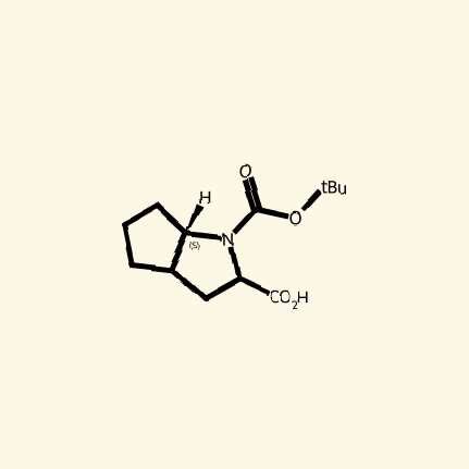 CC(C)(C)OC(=O)N1C(C(=O)O)CC2CCC[C@@H]21